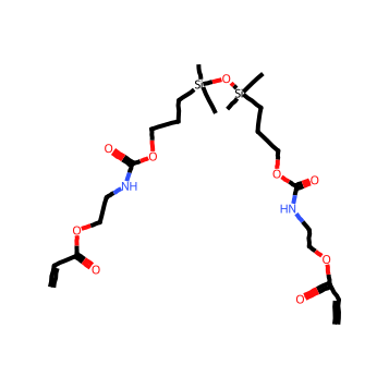 C=CC(=O)OCCNC(=O)OCCC[Si](C)(C)O[Si](C)(C)CCCOC(=O)NCCOC(=O)C=C